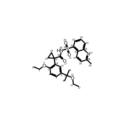 CCOc1ccc(C(C)(C)OCC)cc1C1(C(=O)NS(=O)(=O)c2cccc3nc(C)ccc23)CC1